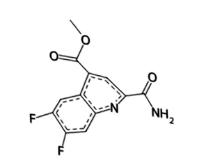 COC(=O)c1cc(C(N)=O)nc2cc(F)c(F)cc12